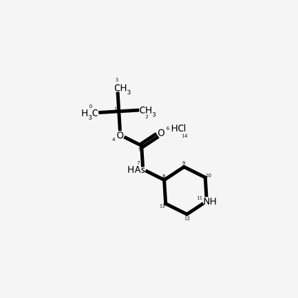 CC(C)(C)OC(=O)[AsH]C1CCNCC1.Cl